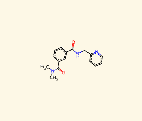 CN(C)C(=O)c1cccc(C(=O)NCc2ccccn2)c1